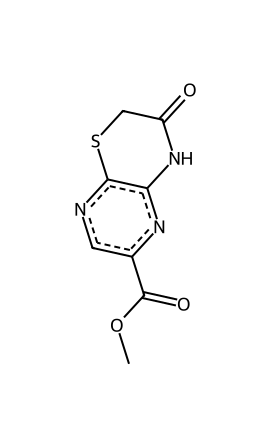 COC(=O)c1cnc2c(n1)NC(=O)CS2